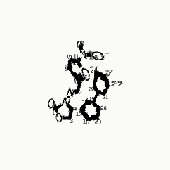 O=C1OCCN1N=Cc1ccc([N+](=O)[O-])o1.c1ccc(-c2ccccc2)cc1